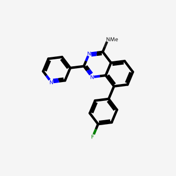 CNc1nc(-c2cccnc2)nc2c(-c3ccc(F)cc3)cccc12